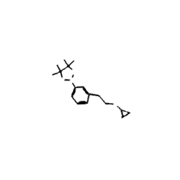 CC1(C)OB(c2cccc(CCNC3CC3)c2)OC1(C)C